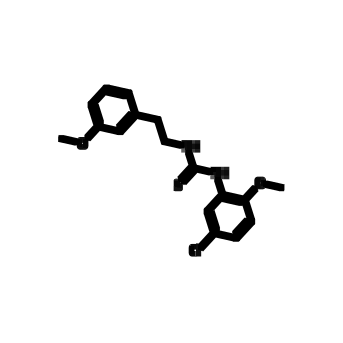 COc1cccc(CCNC(=S)Nc2cc(Cl)ccc2OC)c1